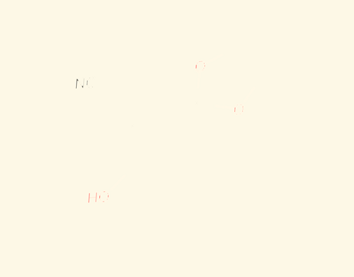 N#CCC1CC2(CCC1O)OCCO2